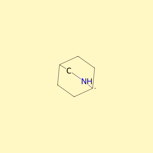 C1CC2CC[C]1NC2